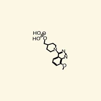 COc1cccc2c(N3CCC(COP(=O)(O)O)CC3)ncnc12